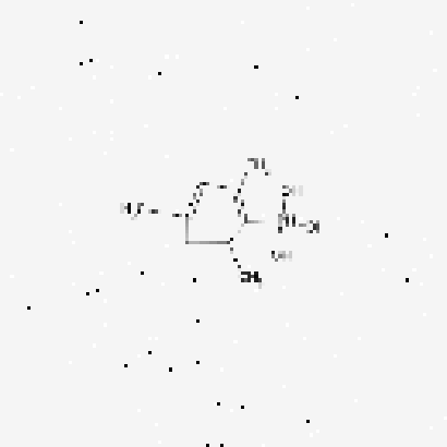 Cc1cc(C)c([PH](O)(O)O)c(C)c1